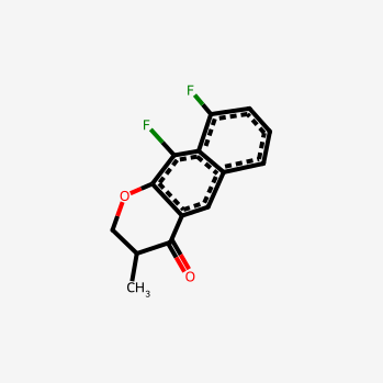 CC1COc2c(cc3cccc(F)c3c2F)C1=O